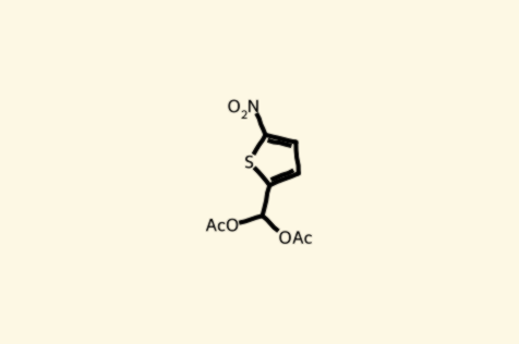 CC(=O)OC(OC(C)=O)c1ccc([N+](=O)[O-])s1